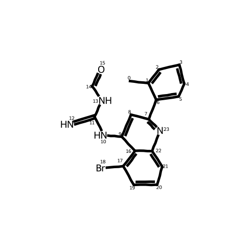 Cc1ccccc1-c1cc(NC(=N)NC=O)c2c(Br)cccc2n1